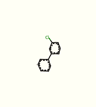 Clc1cccc(-c2c[c]ccc2)c1